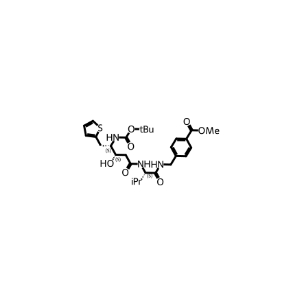 COC(=O)c1ccc(CNC(=O)[C@@H](NC(=O)C[C@H](O)[C@H](Cc2cccs2)NC(=O)OC(C)(C)C)C(C)C)cc1